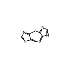 C1=NC2=CC=C3N=CN=C3CC2=N1